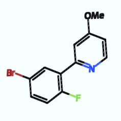 COc1ccnc(-c2cc(Br)ccc2F)c1